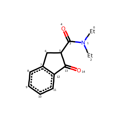 CCN(CC)C(=O)C1Cc2ccccc2C1=O